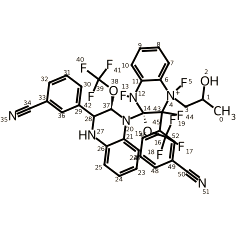 CC(O)C[N+]1(F)c2ccccc2N(F)[C@](OC(F)(F)F)(N2c3ccccc3NC(c3cccc(C#N)c3)[C@H]2OC(F)(F)F)C1(F)c1cccc(C#N)c1